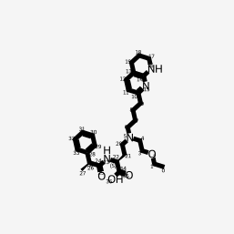 CCOCCN(CCCCc1ccc2c(n1)NCCC2)CC[C@H](NC(=O)[C@@H](C)c1ccccc1)C(=O)O